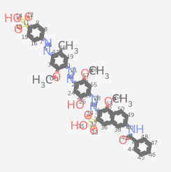 COc1cc(N=Nc2ccc(S(=O)(=O)O)cc2)c(C)cc1N=Nc1cc(O)c(N=Nc2c(S(=O)(=O)O)cc3cc(NC(=O)c4ccccc4)ccc3c2OC)cc1OC